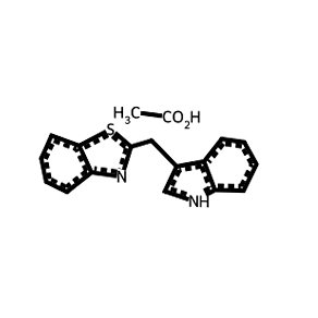 CC(=O)O.c1ccc2sc(Cc3c[nH]c4ccccc34)nc2c1